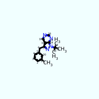 Cc1cccc(Cc2nn(C(C)(C)C)c3ncncc23)c1